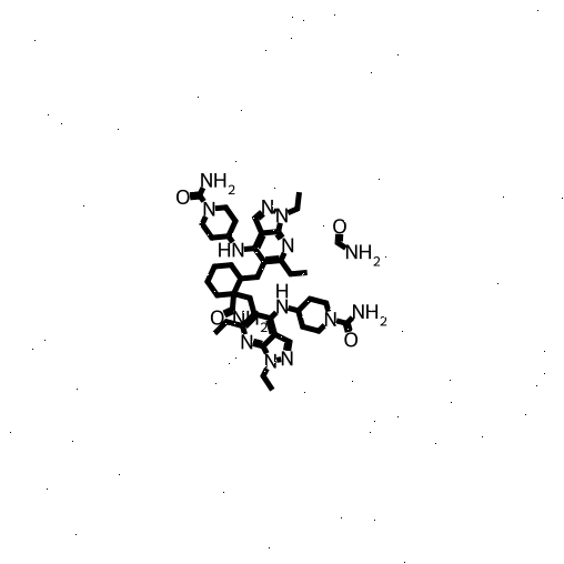 CCc1nc2c(cnn2CC)c(NC2CCN(C(N)=O)CC2)c1CC1CCCCC1(Cc1c(CC)nc2c(cnn2CC)c1NC1CCN(C(N)=O)CC1)C(N)=O.NC=O